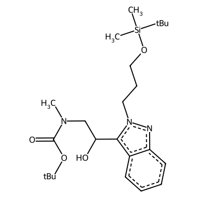 CN(CC(O)c1c2ccccc2nn1CCCO[Si](C)(C)C(C)(C)C)C(=O)OC(C)(C)C